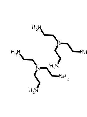 NCCN(CCN)CCN.NCCN(CCN)CCN